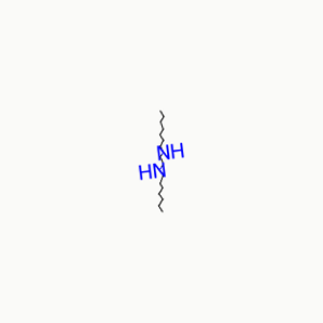 CCCCCCCNCCNCCCCCCC